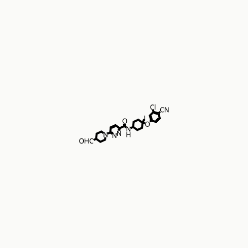 N#Cc1ccc(OC2(I)CCC(NC(=O)c3ccc(N4CCC(C=O)CC4)nn3)CC2)cc1Cl